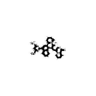 CC1C(Cc2coc(=O)c3cccc[n+]23)c2c(cc(-c3nc(C(C)(C)C)cc(C(C)(C)C)n3)c3ccccc23)-c2cccc[n+]21